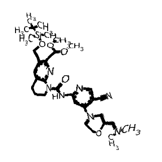 COC(OC)c1nc2c(cc1CO[Si](C)(C)C(C)(C)C)CCCN2C(=O)Nc1cc(N2CCOC(CN(C)C)C2)c(C#N)cn1